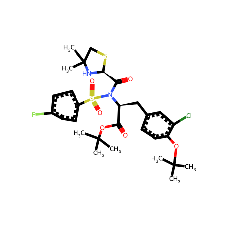 CC1(C)CS[C@@H](C(=O)N([C@@H](Cc2ccc(OC(C)(C)C)c(Cl)c2)C(=O)OC(C)(C)C)S(=O)(=O)c2ccc(F)cc2)N1